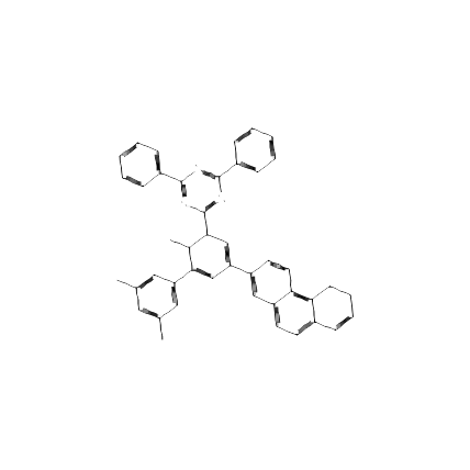 Cc1cc(C)cc(C2=CC(c3ccc4c5c(ccc4c3)C=CCC5)=CC(c3nc(-c4ccccc4)nc(-c4ccccc4)n3)C2C)c1